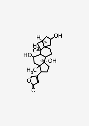 CC12C[C@H]3CC(O)CC31CCC1C2C(O)CC2(C)C(C3=CC(=O)OC3)CC[C@]12O